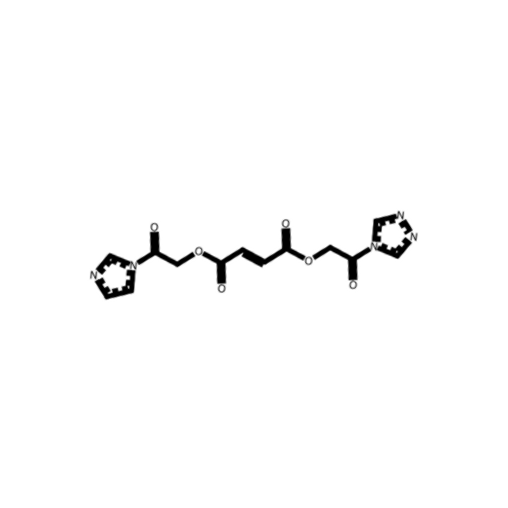 O=C(/C=C/C(=O)OCC(=O)n1cnnc1)OCC(=O)n1ccnc1